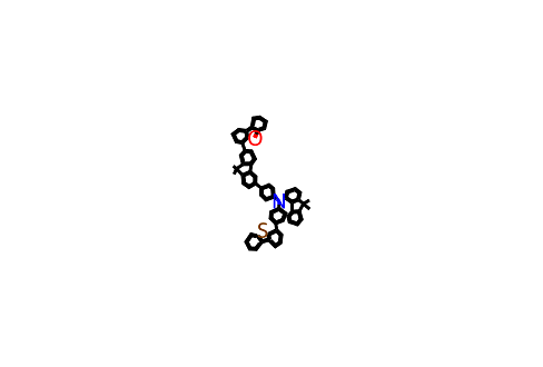 CC1(C)c2ccc(-c3ccc(N(c4ccc(-c5cccc6c5sc5ccccc56)cc4)c4cccc5c4-c4ccccc4C5(C)C)cc3)cc2-c2ccc(-c3cccc4c3oc3ccccc34)cc21